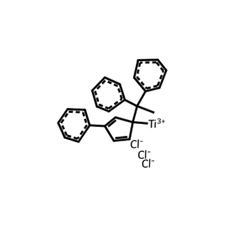 CC(c1ccccc1)(c1ccccc1)[C]1([Ti+3])C=CC(c2ccccc2)=C1.[Cl-].[Cl-].[Cl-]